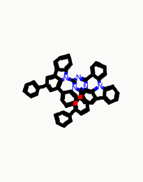 c1ccc(-c2cccc(-c3nc(-c4ccccc4-n4c5ccccc5c5ccccc54)nc(-n4c5ccccc5c5cc(-c6ccccc6)cc(-c6ccccc6)c54)n3)c2)cc1